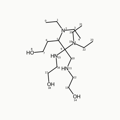 CCN(CC)C(CCO)C(CNCCO)(NCCO)N(CC)CC